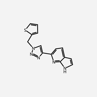 c1csc(Cn2cc(-c3ccc4cc[nH]c4n3)nn2)c1